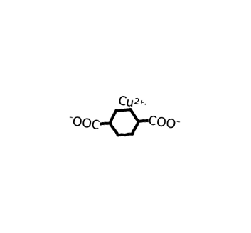 O=C([O-])C1CCC(C(=O)[O-])CC1.[Cu+2]